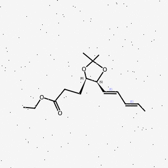 C/C=C/C=C/[C@@H]1OC(C)(C)O[C@@H]1CCC(=O)OCC